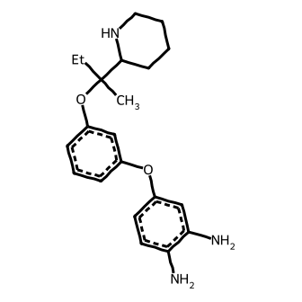 CCC(C)(Oc1cccc(Oc2ccc(N)c(N)c2)c1)C1CCCCN1